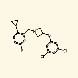 Fc1ccc(C2CC2)c(CN2CC(Oc3cc(Cl)cc(Cl)c3)C2)c1